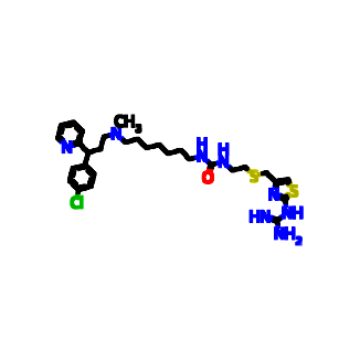 CN(CCCCCCCNC(=O)NCCSCc1csc(NC(=N)N)n1)CCC(c1ccc(Cl)cc1)c1ccccn1